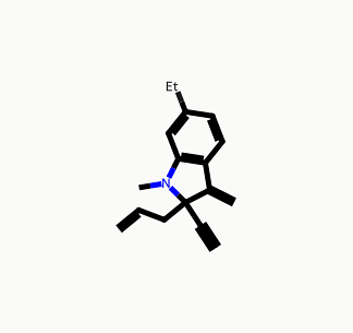 C#CC1(CC=C)C(=C)c2ccc(CC)cc2N1C